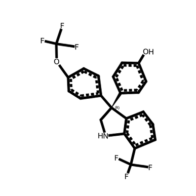 Oc1ccc([C@]2(c3ccc(OC(F)(F)F)cc3)CNc3c(C(F)(F)F)cccc32)cc1